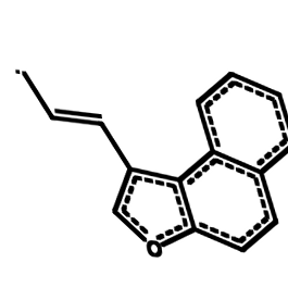 [CH2]C=Cc1coc2ccc3ccccc3c12